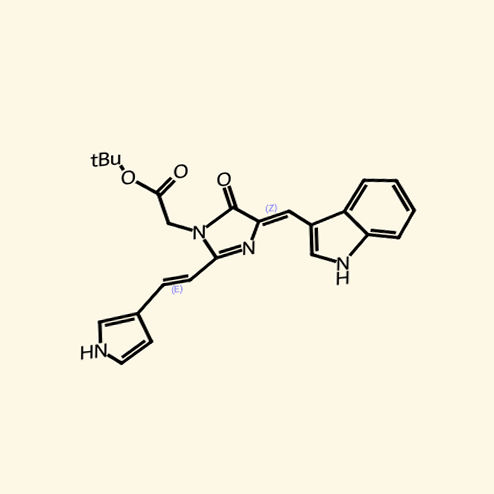 CC(C)(C)OC(=O)CN1C(=O)/C(=C/c2c[nH]c3ccccc23)N=C1/C=C/c1cc[nH]c1